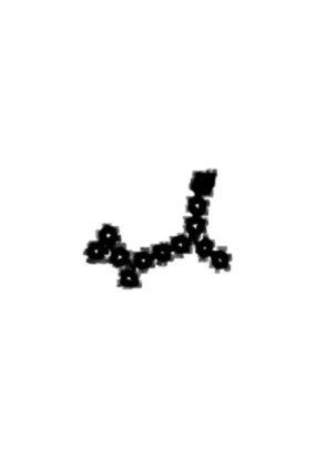 c1ccc(-c2ccc(N(c3ccc(-c4ccc(-c5ccc(N(c6ccccc6)c6ccc(-n7c8ccccc8c8ccccc87)cc6)cc5)cc4)cc3)c3ccc(-c4ccc(C56CC7CC8CC(C5)C87C6)cc4)cc3)cc2)cc1